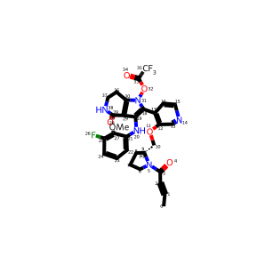 CC#CC(=O)N1CCC[C@@H]1COc1cnccc1-c1c(Nc2cccc(F)c2OC)c2c(n1OC(=O)C(F)(F)F)CCNC2=O